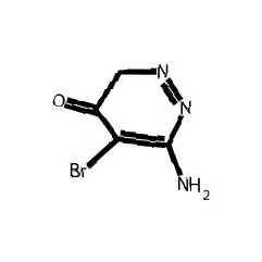 NC1=C(Br)C(=O)CN=N1